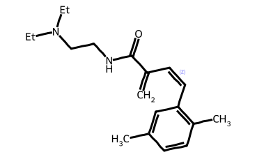 C=C(/C=C\c1cc(C)ccc1C)C(=O)NCCN(CC)CC